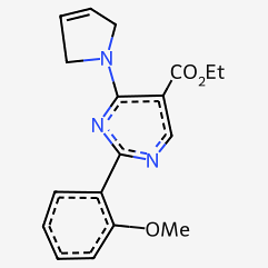 CCOC(=O)c1cnc(-c2ccccc2OC)nc1N1CC=CC1